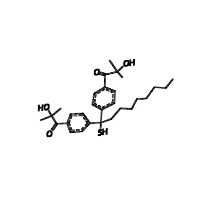 CCCCCCCCC(S)(c1ccc(C(=O)C(C)(C)O)cc1)c1ccc(C(=O)C(C)(C)O)cc1